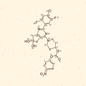 O=C(Oc1ccc([N+](=O)[O-])cc1)OC1CCN(c2nc(-c3cc(F)c(Cl)cc3F)nc3c2CS(O)(O)C3)CC1